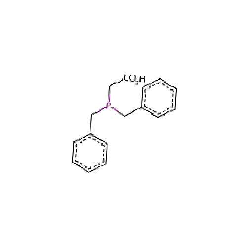 O=C(O)CP(Cc1ccccc1)Cc1ccccc1